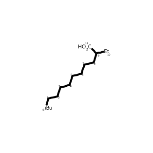 CCC(C)CCCCCCCCC(CC)C(=O)O